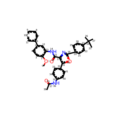 COc1ccc(-c2ccccc2)cc1NC(=O)c1nc(-c2ccc(C(C)(C)C)cc2)oc1-c1ccc(NC(C)=O)cc1